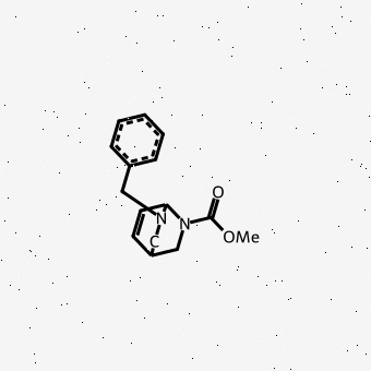 COC(=O)N1CC2C=CC1N(Cc1ccccc1)C2